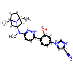 CN(c1ccc(-c2ccc(-n3cnc(C#N)c3)cc2O)nn1)[C@H]1C[C@]2(C)CC[C@](C)(C1)N2